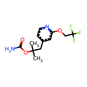 CC(C)(Cc1ccnc(OCC(F)(F)F)c1)OC(N)=O